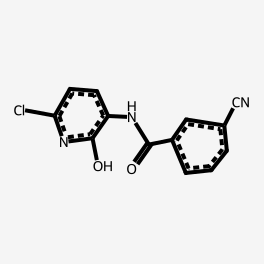 N#Cc1cccc(C(=O)Nc2ccc(Cl)nc2O)c1